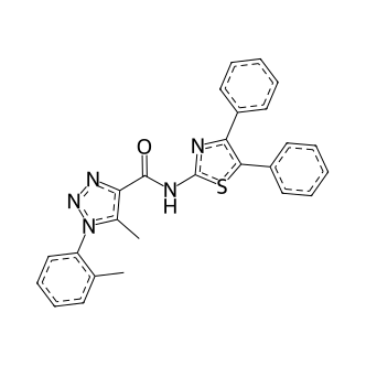 Cc1ccccc1-n1nnc(C(=O)Nc2nc(-c3ccccc3)c(-c3ccccc3)s2)c1C